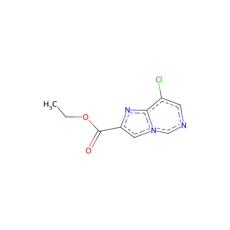 CCOC(=O)c1cn2cncc(Cl)c2n1